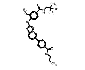 CCOc1cc(C(=O)NCC(C)(C)O)ccc1Nc1nc2ccc(-c3ccc(C(=O)NCCC(F)(F)F)cc3)cn2n1